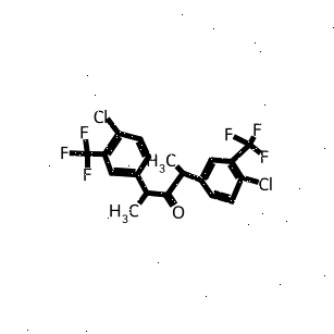 CC(C(=O)C(C)c1ccc(Cl)c(C(F)(F)F)c1)c1ccc(Cl)c(C(F)(F)F)c1